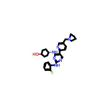 O[C@H]1CC[C@H](Nc2nc(Nc3ccccc3F)ncc2-c2ccc(CN3CCCC3)cn2)CC1